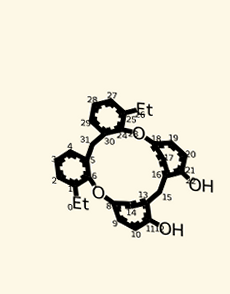 CCc1cccc2c1Oc1ccc(O)c(c1)Cc1cc(ccc1O)Oc1c(CC)cccc1C2